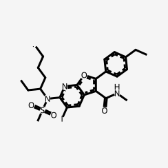 [CH2]CCCC(CC)N(c1nc2oc(-c3ccc(CC)cc3)c(C(=O)NC)c2cc1I)S(C)(=O)=O